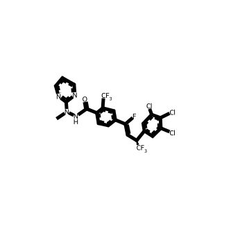 CN(NC(=O)c1ccc(/C(F)=C/[C@@H](c2cc(Cl)c(Cl)c(Cl)c2)C(F)(F)F)cc1C(F)(F)F)c1ncccn1